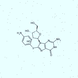 Nc1ccc(Sc2nc3c(=O)[nH]c(N)nc3n2[C@@H]2O[C@H](CO)[C@@H](O)[C@H]2O)cc1